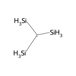 [SiH3][C]([SiH3])[SiH3]